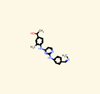 C/N=C\c1ccc(Nc2nccc(Nc3ccc(C(C)O)cc3C)n2)cc1